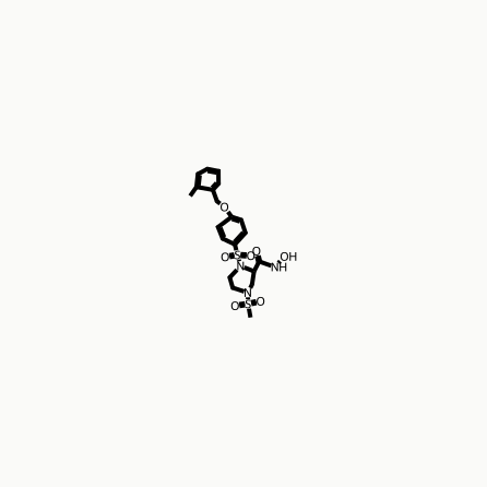 Cc1ccccc1COc1ccc(S(=O)(=O)N2CCN(S(C)(=O)=O)CC2C(=O)NO)cc1